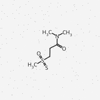 CN(C)C(=O)CCS(C)(=O)=S